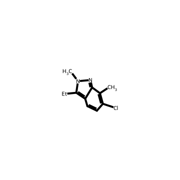 CCc1c2ccc(Cl)c(C)c2nn1C